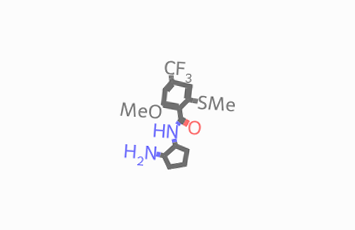 COc1cc(C(F)(F)F)cc(SC)c1C(=O)NC1CCCC1N